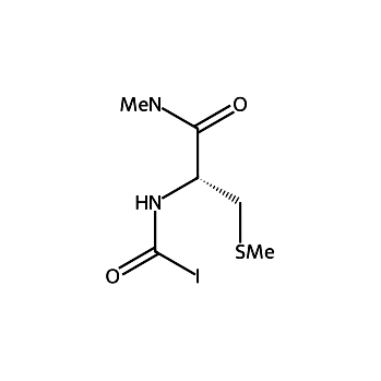 CNC(=O)[C@H](CSC)NC(=O)I